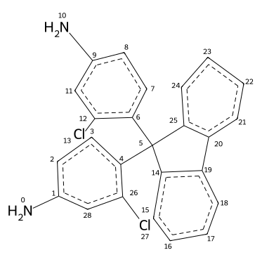 Nc1ccc(C2(c3ccc(N)cc3Cl)c3ccccc3-c3ccccc32)c(Cl)c1